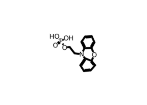 O=P(O)(O)OCCN1c2ccccc2Oc2ccccc21